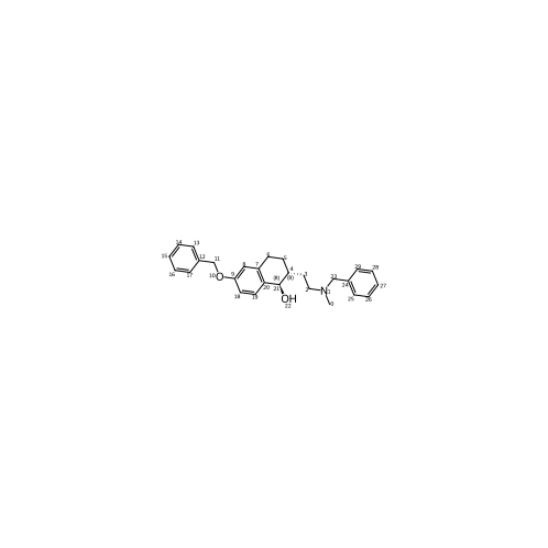 CN(CC[C@H]1CCc2cc(OCc3ccccc3)ccc2[C@@H]1O)Cc1ccccc1